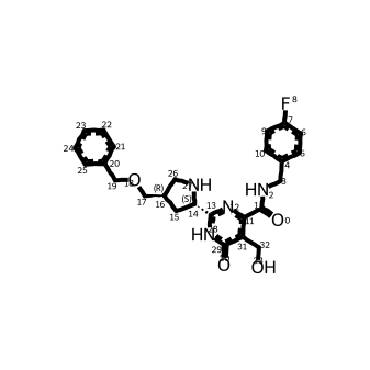 O=C(NCc1ccc(F)cc1)c1nc([C@@H]2C[C@@H](COCc3ccccc3)CN2)[nH]c(=O)c1CO